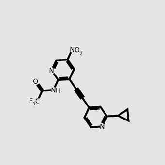 O=C(Nc1ncc([N+](=O)[O-])cc1C#Cc1ccnc(C2CC2)c1)C(F)(F)F